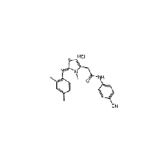 Cc1ccc(N=c2scc(CC(=O)Nc3ccc(C#N)cc3)n2C)c(C)c1.Cl